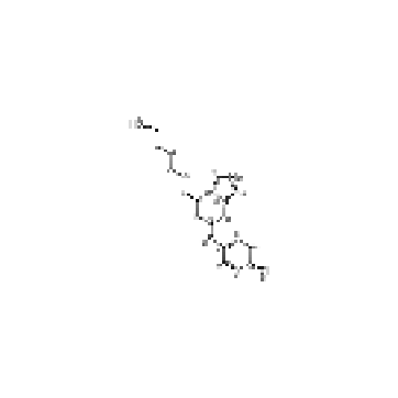 CCCCCCCCCC(Cn1ccnc1)Sc1ccc(Cl)cc1